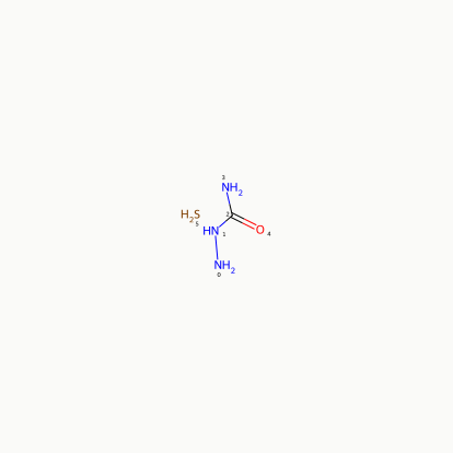 NNC(N)=O.S